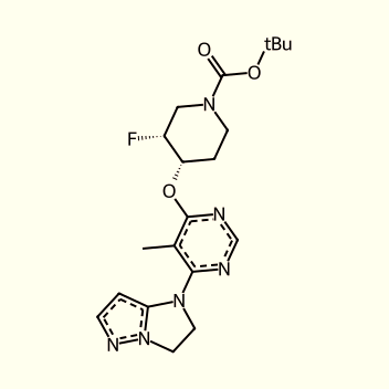 Cc1c(O[C@H]2CCN(C(=O)OC(C)(C)C)C[C@H]2F)ncnc1N1CCn2nccc21